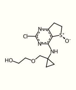 [O-][S@+]1CCc2nc(Cl)nc(NC3(COCCO)CC3)c21